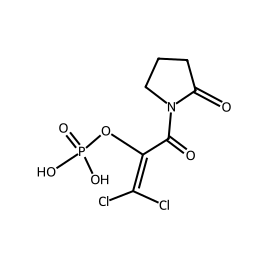 O=C1CCCN1C(=O)C(OP(=O)(O)O)=C(Cl)Cl